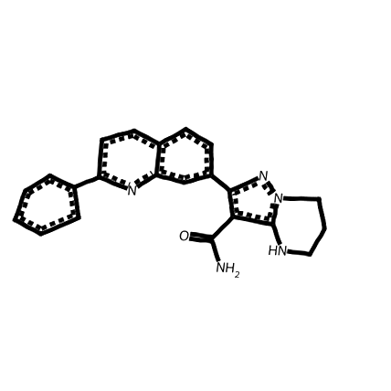 NC(=O)c1c(-c2ccc3ccc(-c4ccccc4)nc3c2)nn2c1NCCC2